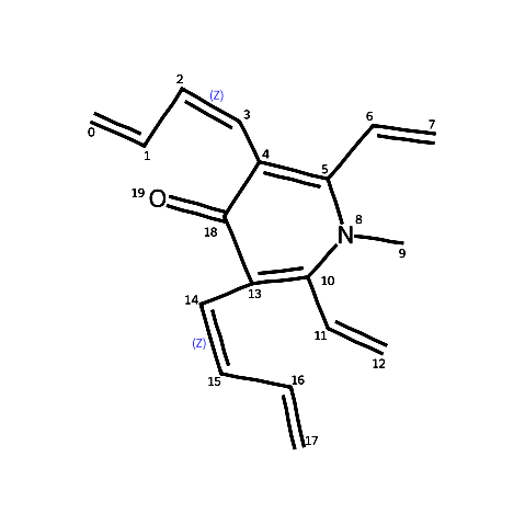 C=C/C=C\c1c(C=C)n(C)c(C=C)c(/C=C\C=C)c1=O